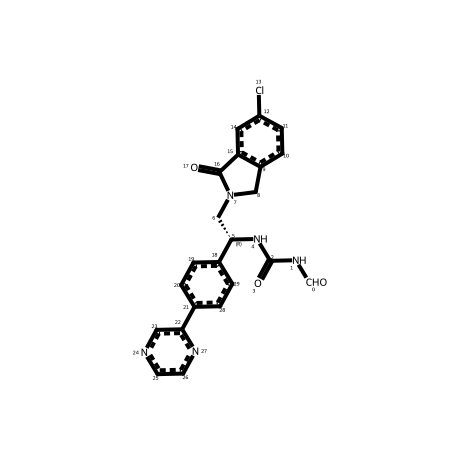 O=CNC(=O)N[C@@H](CN1Cc2ccc(Cl)cc2C1=O)c1ccc(-c2cnccn2)cc1